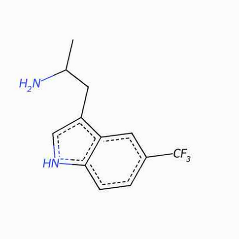 CC(N)Cc1c[nH]c2ccc(C(F)(F)F)cc12